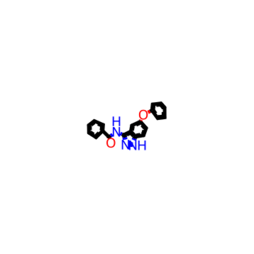 O=C(Nc1n[nH]c2ccc(Oc3ccccc3)cc12)c1ccccc1